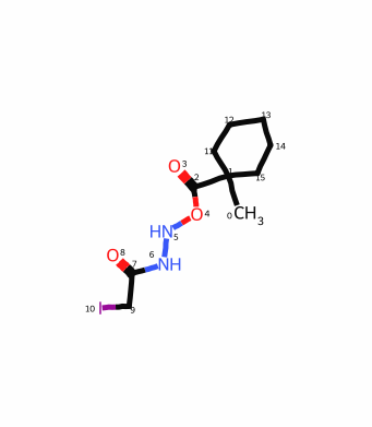 CC1(C(=O)ONNC(=O)CI)CCCCC1